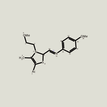 COCCN1C(C)=C(C(C)=O)SC1/C=N/c1ccc(OC)cc1